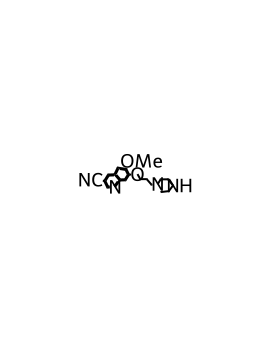 COc1cc2cc(C#N)cnc2cc1OCCCN1CCNCC1